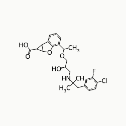 CC(OC[C@H](O)CNC(C)(C)Cc1ccc(Cl)c(F)c1)c1cccc2c1OC1C(C(=O)O)C21